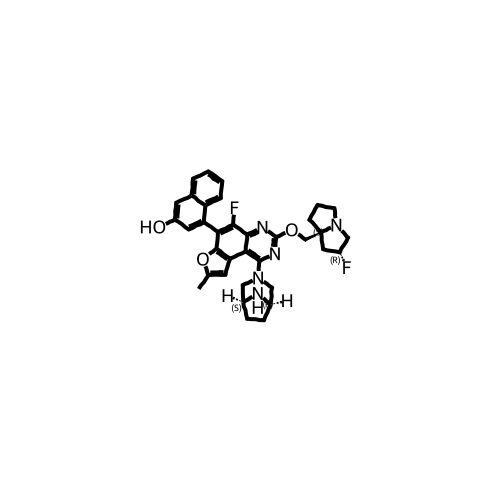 Cc1cc2c(o1)c(-c1cc(O)cc3ccccc13)c(F)c1nc(OC[C@@]34CCCN3C[C@H](F)C4)nc(N3C[C@H]4CC[C@@H](C3)N4)c12